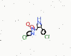 O=CON(CC1CNCC1c1ccc(Cl)cc1)c1ccc(Cl)cn1